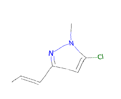 C/C=C/c1cc(Cl)n(C)n1